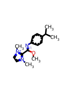 CO/C(=N\c1ccc(C(C)C)cc1)c1n(C)cc[n+]1C